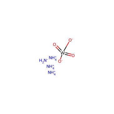 [NH2-].[NH4+].[NH4+].[NH4+].[O]=[W](=[O])([O-])[O-]